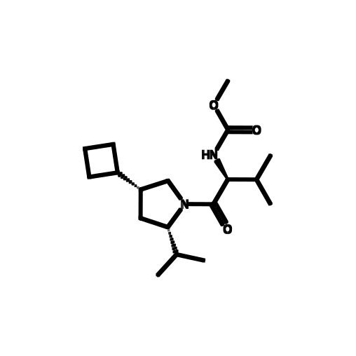 COC(=O)N[C@H](C(=O)N1C[C@@H](C2CCC2)C[C@H]1C(C)C)C(C)C